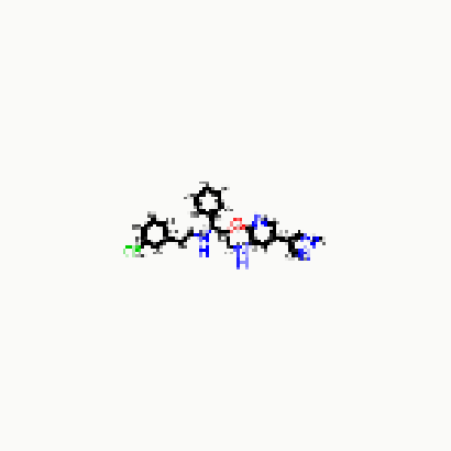 Cn1cc(-c2cnc3c(c2)NC[C@@H]([C@H](NCCc2cccc(Cl)c2)c2ccccc2)O3)cn1